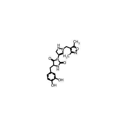 Cc1noc(C)c1CN1C=C(N2C(=O)NC(Cc3ccc(O)c(O)c3)C2=O)CN1